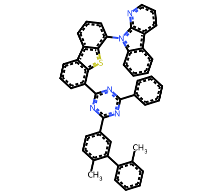 Cc1ccccc1-c1cc(-c2nc(-c3ccccc3)nc(-c3cccc4c3sc3c(-n5c6ccccc6c6cccnc65)cccc34)n2)ccc1C